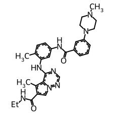 CCNC(=O)c1cn2ncnc(Nc3cc(NC(=O)c4cccc(N5CCN(C)CC5)c4)ccc3C)c2c1C